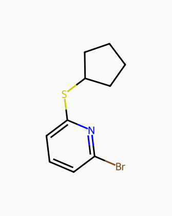 Brc1cccc(SC2CCCC2)n1